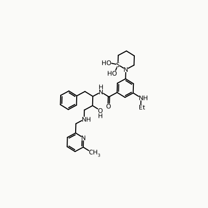 CCNc1cc(C(=O)NC(Cc2ccccc2)C(O)CNCc2cccc(C)n2)cc(N2CCCCS2(O)O)c1